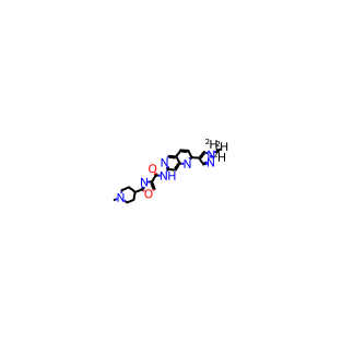 [2H]C([2H])([2H])n1cc(-c2ccc3cnc(NC(=O)c4coc(C5CCN(C)CC5)n4)cc3n2)cn1